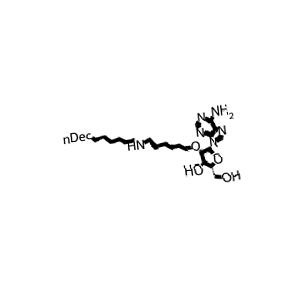 CCCCCCCCCCCCCCCCNCCCCCCO[C@@H]1[C@H](O)[C@@H](CO)O[C@H]1n1cnc2c(N)ncnc21